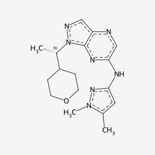 Cc1cc(Nc2cnc3cnn([C@@H](C)C4CCOCC4)c3n2)nn1C